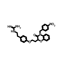 N=C(N)NCCc1ccc(OCCC2Oc3ccccc3N(Cc3ccc([N+](=O)[O-])cc3)C2=O)cc1